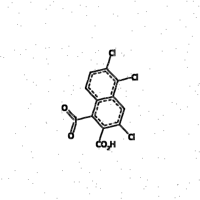 O=C(O)c1c(Cl)cc2c(Cl)c(Cl)ccc2c1I(=O)=O